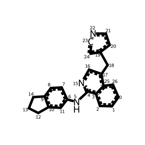 c1ccc2c(Nc3ccc4c(c3)CCC4)ncc(Cc3ccncc3)c2c1